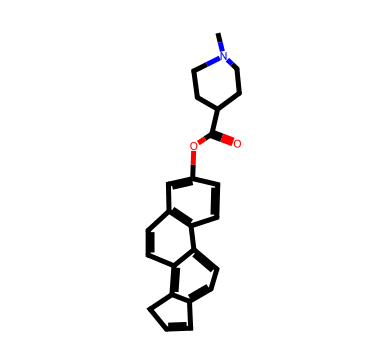 CN1CCC(C(=O)Oc2ccc3c(ccc4c5c(ccc43)C=CC5)c2)CC1